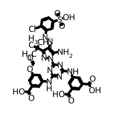 CC(C)(C)c1nn(-c2nc(Nc3cc(OC=O)cc(C(=O)O)c3)nc(Nc3cc(C(=O)O)cc(C(=O)O)c3)n2)c(N)c1/N=N/c1cc(S(=O)(=O)O)ccc1Cl